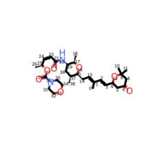 CC(/C=C/C1CC(=O)CC(C)(C)O1)=C\C[C@@H]1O[C@H](C)[C@H](NC(=O)/C=C\[C@H](C)OC(=O)N2CCOCC2)C[C@@H]1C